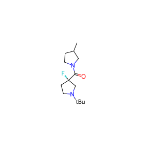 CC1CCN(C(=O)[C@@]2(F)CCN(C(C)(C)C)C2)C1